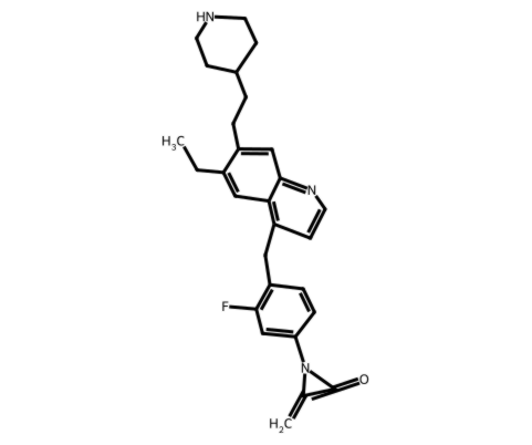 C=C1C(=O)N1c1ccc(Cc2ccnc3cc(CCC4CCNCC4)c(CC)cc23)c(F)c1